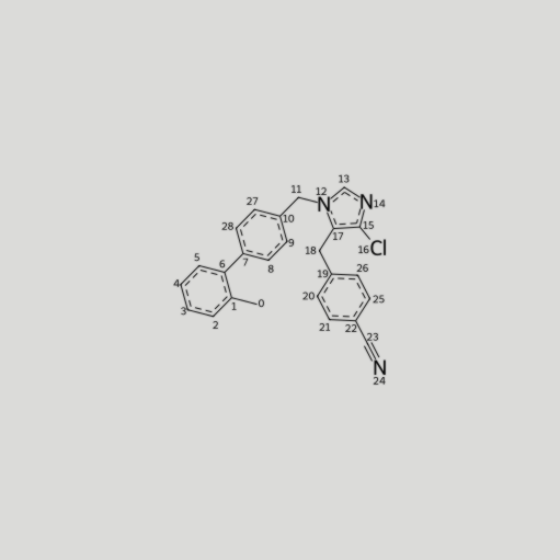 Cc1ccccc1-c1ccc(Cn2cnc(Cl)c2Cc2ccc(C#N)cc2)cc1